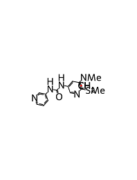 C=C(/C=C(\C=N/C(=C)SC)NC(=O)Nc1cccnc1)NC